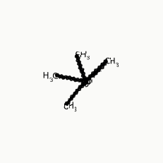 CCCCCCCCCCCCCC[O][Ti](=[O])([CH2]CCCCCCCCCCCCC)([CH2]CCCCCCCCCCCCC)[O]CCCCCCCCCCCCCC